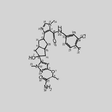 CC(Oc1cc(C2(O)CC3CC(c4ncn(C)c4C(=O)Nc4ccc(F)c(Cl)c4)CC3C2)n(C)n1)C(N)=O